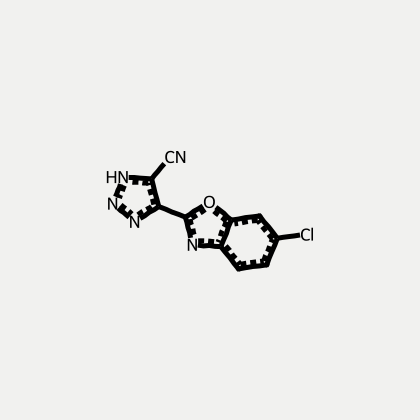 N#Cc1[nH]nnc1-c1nc2ccc(Cl)cc2o1